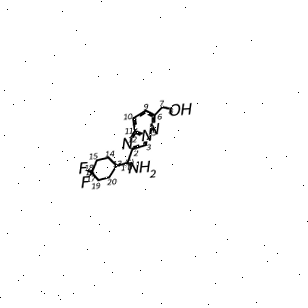 N[C@H](c1cn2nc(CO)ccc2n1)C1CCC(F)(F)CC1